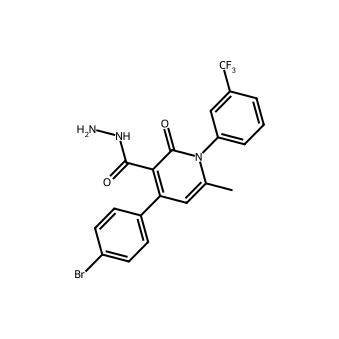 Cc1cc(-c2ccc(Br)cc2)c(C(=O)NN)c(=O)n1-c1cccc(C(F)(F)F)c1